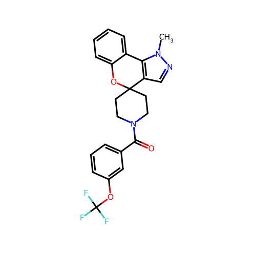 Cn1ncc2c1-c1ccccc1OC21CCN(C(=O)c2cccc(OC(F)(F)F)c2)CC1